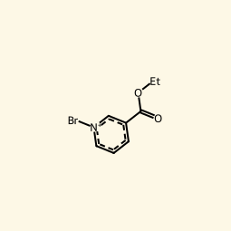 CCOC(=O)c1ccc[n+](Br)c1